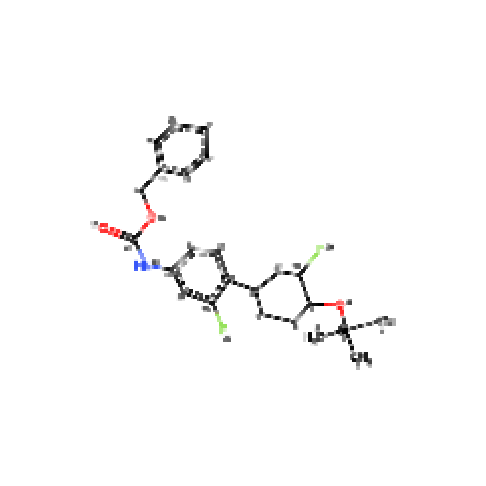 CC(C)(C)[Si](C)(C)OC1CCC(c2ccc(NC(=O)OCc3ccccc3)cc2F)CC1F